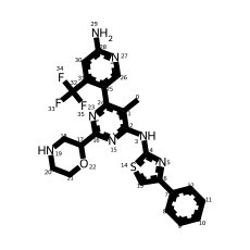 Cc1c(Nc2nc(-c3ccccc3)cs2)nc(C2CNCCO2)nc1-c1cnc(N)cc1C(F)(F)F